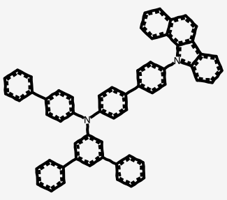 c1ccc(-c2ccc(N(c3ccc(-c4ccc(-n5c6ccccc6c6ccc7ccccc7c65)cc4)cc3)c3cc(-c4ccccc4)cc(-c4ccccc4)c3)cc2)cc1